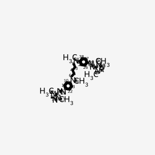 CN(CCCCCN(C)c1ccc(N=Nc2n(C)nc[n+]2C)cc1)c1ccc(N=Nc2n(C)nc[n+]2C)cc1